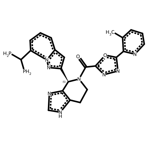 Cc1cccnc1-c1nnc(C(=O)N2CCc3[nH]cnc3[C@H]2c2cc3cccc(C(P)P)n3n2)o1